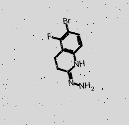 N/N=C1/CCc2c(ccc(Br)c2F)N1